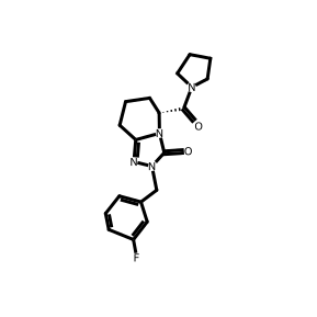 O=C([C@H]1CCCc2nn(Cc3cccc(F)c3)c(=O)n21)N1CCCC1